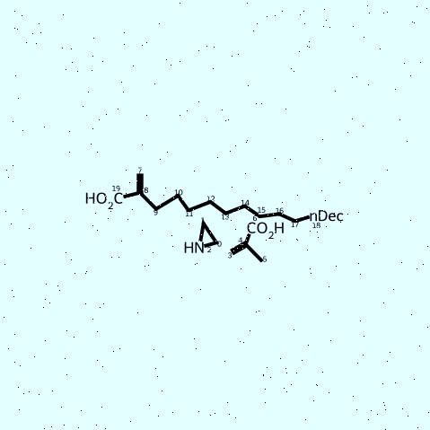 C1CN1.C=C(C)C(=O)O.C=C(CCCCCCCCCCCCCCCCCCC)C(=O)O